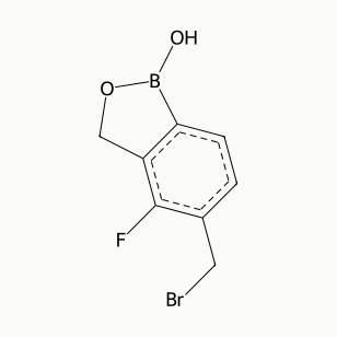 OB1OCc2c1ccc(CBr)c2F